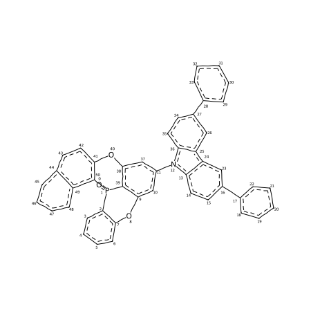 O=P12c3ccccc3Oc3cc(-n4c5ccc(-c6ccccc6)cc5c5cc(-c6ccccc6)ccc54)cc(c31)Oc1ccc3ccccc3c12